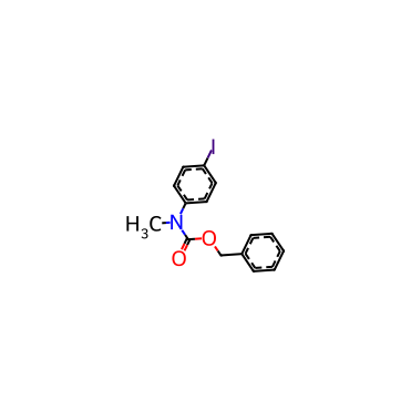 CN(C(=O)OCc1ccccc1)c1ccc(I)cc1